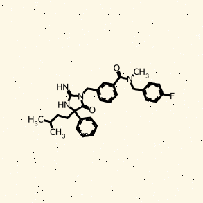 CC(C)CCC1(c2ccccc2)NC(=N)N(Cc2cccc(C(=O)N(C)Cc3ccc(F)cc3)c2)C1=O